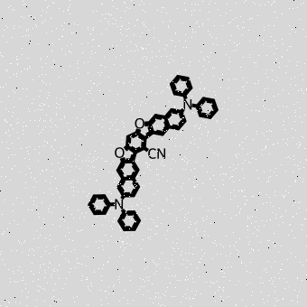 N#Cc1c2c(cc3oc4cc5cc(N(c6ccccc6)c6ccccc6)ccc5cc4c13)oc1cc3cc(N(c4ccccc4)c4ccccc4)ccc3cc12